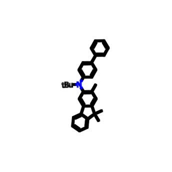 Cc1cc2c(cc1N(c1ccc(-c3ccccc3)cc1)C(C)(C)C)-c1ccccc1C2(C)C